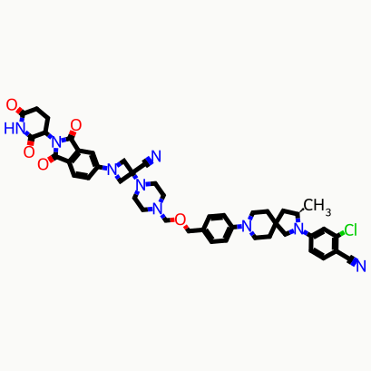 C[C@H]1CC2(CCN(c3ccc(COCN4CCN(C5(C#N)CN(c6ccc7c(c6)C(=O)N(C6CCC(=O)NC6=O)C7=O)C5)CC4)cc3)CC2)CN1c1ccc(C#N)c(Cl)c1